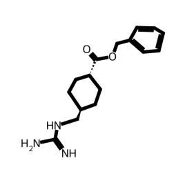 N=C(N)NC[C@H]1CC[C@H](C(=O)OCc2ccccc2)CC1